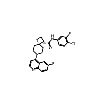 O=C(Nc1ccc(Cl)c(F)c1)[C@H]1CC[C@]12CC[C@H](c1ccnc3ccc(F)cc31)CC2